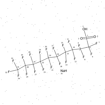 O=S(=O)(O)C(F)(F)C(F)(F)C(F)(F)C(F)(F)C(F)(F)C(F)(F)C(F)(F)C(F)(F)C(F)(F)C(F)(F)F.[NaH]